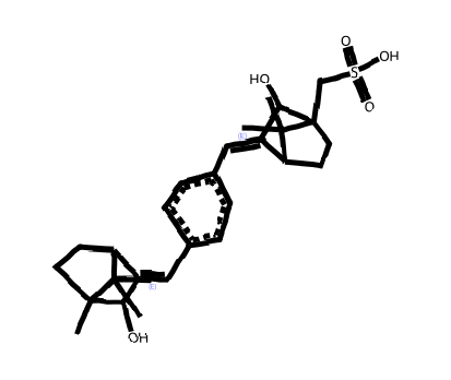 CC1(C)C2CCC1(C)C(O)/C2=C/c1ccc(/C=C2\C3CCC(CS(=O)(=O)O)(C2O)C3(C)C)cc1